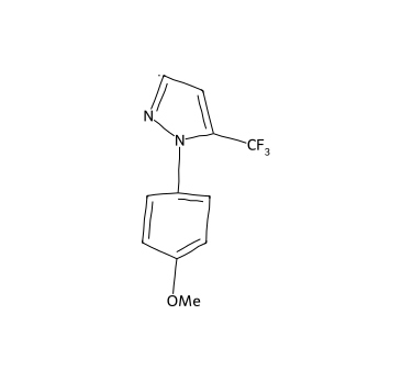 COc1ccc(-n2n[c]cc2C(F)(F)F)cc1